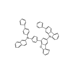 c1ccc(-c2ccc(N(c3ccc(-c4cc(-n5c6ccccc6c6ccc(-c7ccccc7)cc65)cc5c4oc4ccccc45)cc3)c3ccc4ccccc4c3)cc2)cc1